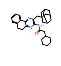 O=C(CC1CCCCC1)Nc1nc2c(nc1CC13CC4CC(CC(C4)C1)C3)-c1ccccc1CC2